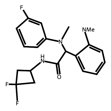 CNc1ccccc1C(C(=O)NC1CC(F)(F)C1)N(C)c1cccc(F)c1